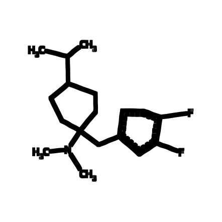 CC(C)C1CCC(Cc2ccc(F)c(F)c2)(N(C)C)CC1